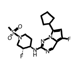 CS(=O)(=O)N1CC[C@@H](Nc2ncc3c(F)cc(C4CCCC4)n3n2)[C@H](F)C1